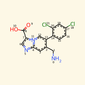 NCc1cc2ncc(C(=O)O)n2cc1-c1ccc(Cl)cc1Cl